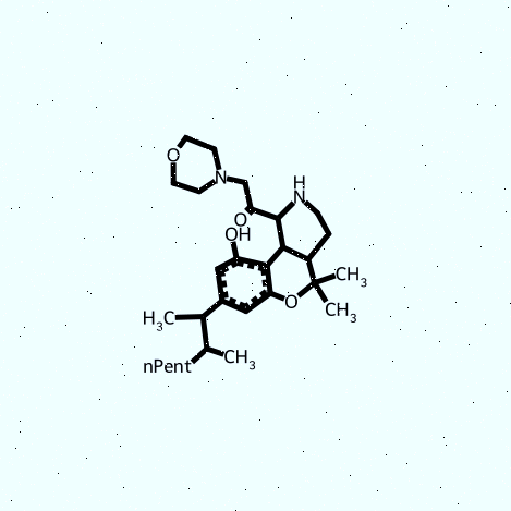 CCCCCC(C)C(C)c1cc(O)c2c(c1)OC(C)(C)C1CCNC(C(=O)CN3CCOCC3)C21